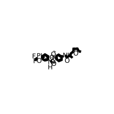 COc1cc(NC(=O)C(C)CC2CCC(C)O2)ccc1S(=O)(=O)Nc1cccc(OC(F)(F)P)c1